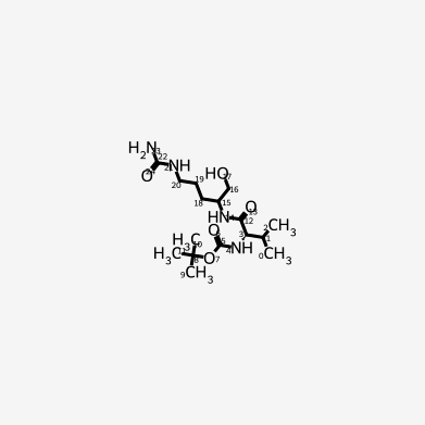 CC(C)[C@H](NC(=O)OC(C)(C)C)C(=O)NC(CO)CCCNC(N)=O